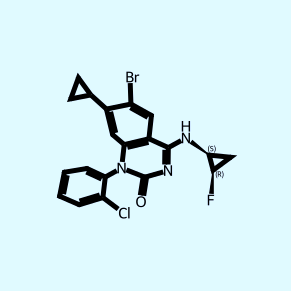 O=c1nc(N[C@H]2C[C@H]2F)c2cc(Br)c(C3CC3)cc2n1-c1ccccc1Cl